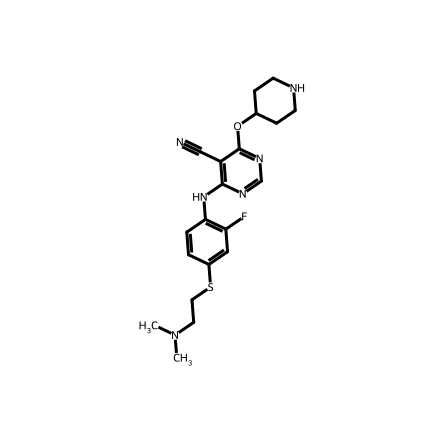 CN(C)CCSc1ccc(Nc2ncnc(OC3CCNCC3)c2C#N)c(F)c1